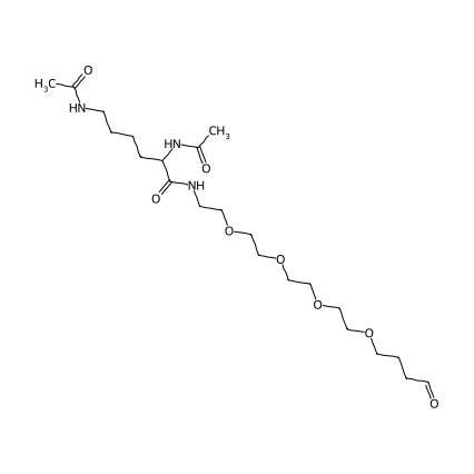 CC(=O)NCCCCC(NC(C)=O)C(=O)NCCOCCOCCOCCOCCCC=O